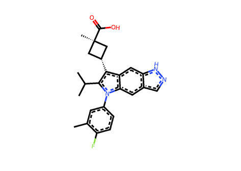 Cc1cc(-n2c(C(C)C)c([C@H]3C[C@](C)(C(=O)O)C3)c3cc4[nH]ncc4cc32)ccc1F